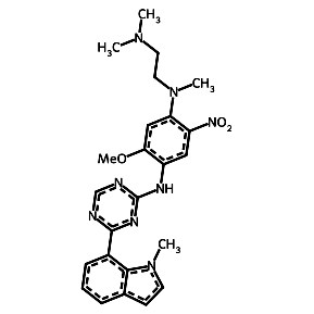 COc1cc(N(C)CCN(C)C)c([N+](=O)[O-])cc1Nc1ncnc(-c2cccc3ccn(C)c23)n1